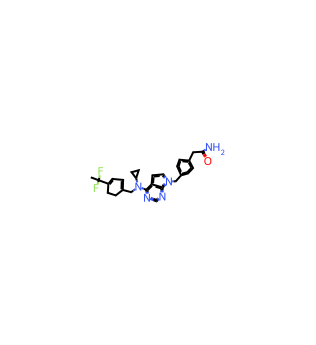 CC(F)(F)C1=CC=C(CN(c2ncnc3c2ccn3Cc2ccc(CC(N)=O)cc2)C2CC2)CC1